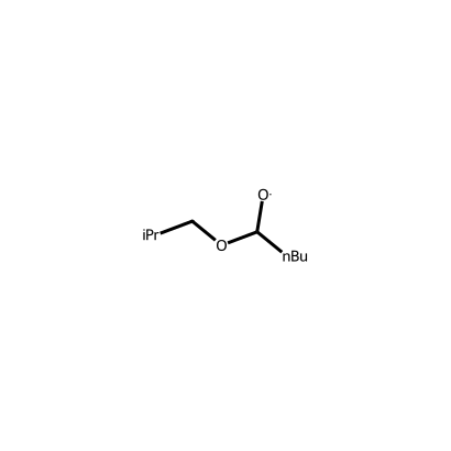 CCCCC([O])OCC(C)C